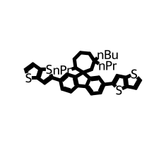 CCCCC1(CCC)CCCC(CCC)C2(C1)c1cc(-c3cc4sccc4s3)ccc1-c1ccc(-c3cc4sccc4s3)cc12